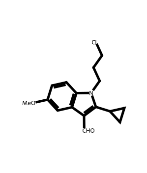 COc1ccc2c(c1)c(C=O)c(C1CC1)n2CCCCl